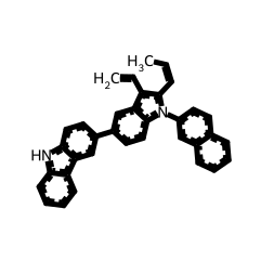 C=Cc1c(/C=C\C)n(-c2ccc3ccccc3c2)c2ccc(-c3ccc4[nH]c5ccccc5c4c3)cc12